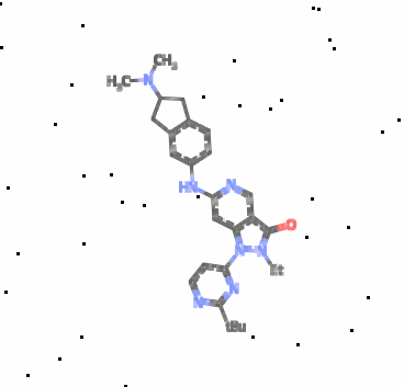 CCn1c(=O)c2cnc(Nc3ccc4c(c3)CC(N(C)C)C4)cc2n1-c1ccnc(C(C)(C)C)n1